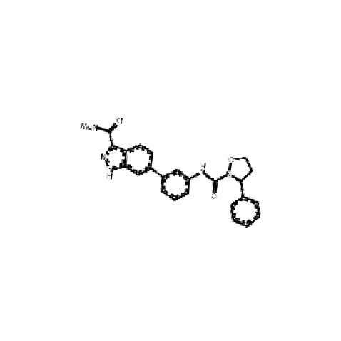 CNC(=O)c1n[nH]c2cc(-c3cccc(NC(=O)N4OCCC4c4ccccc4)c3)ccc12